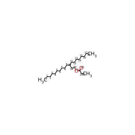 CCCCCCCCCCC(CCCCCCCC)CCOC(=O)CC